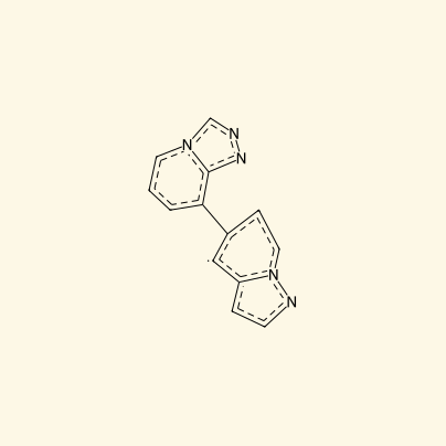 [c]1c(-c2cccn3cnnc23)ccn2nccc12